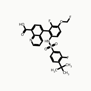 CC(C)(C)c1ccc(S(=O)(=O)Nc2ccc(OCF)c(F)c2-c2ccc(C(=O)O)c3ncccc23)cc1F